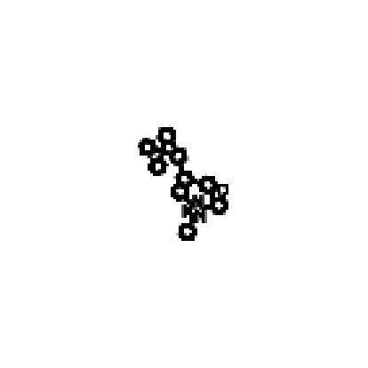 c1ccc(-c2nc(-c3ccccc3)nc(-c3cccc4oc5ccc(-c6cccc(-c7ccc8c(c7)C(c7ccccc7)(c7ccccc7)c7ccccc7-8)c6)cc5c34)n2)cc1